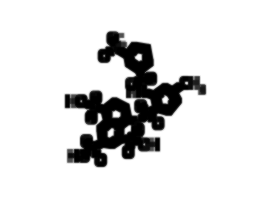 Cc1ccc(S(=O)(=O)Nc2ccc(S(=O)(=O)O)c3cc(S(=O)(=O)O)cc(S(=O)(=O)O)c23)c(NS(=O)(=O)c2cccc([N+](=O)[O-])c2)c1